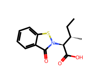 CC[C@H](C)[C@@H](C(=O)O)n1sc2ccccc2c1=O